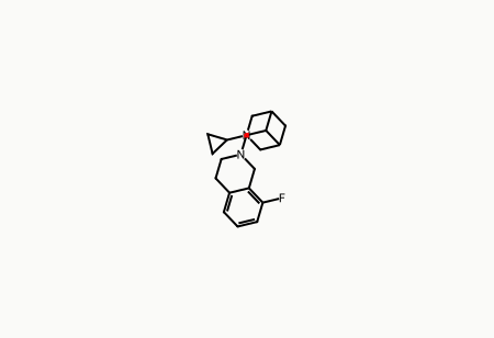 Fc1cccc2c1CN(CC1C3CC1CN(C1CC1)C3)CC2